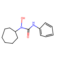 O=C(Nc1ccccc1)N(O)C1CCCCCC1